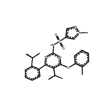 Cc1ccccc1Oc1nc(NS(=O)(=O)c2cnn(C)c2)nc(-c2ccccc2C(C)C)c1C(C)C